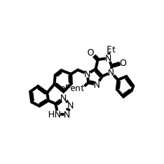 CCCCCc1nc2c(c(=O)n(CC)c(=O)n2-c2ccccc2)n1Cc1ccc(-c2ccccc2-c2nnn[nH]2)cc1